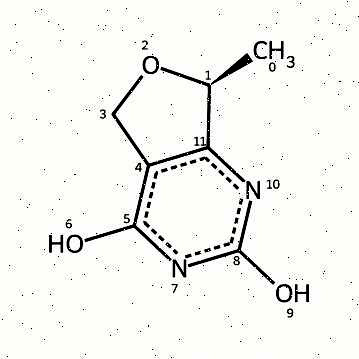 C[C@@H]1OCc2c(O)nc(O)nc21